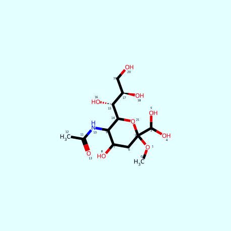 COC1(C(O)O)CC(O)C(NC(C)=O)C([C@H](O)[C@H](O)CO)O1